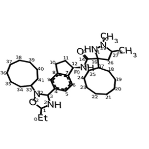 CCC1NC(c2ccc3c(c2)CC[C@H]3NC(=O)C2(C3CCCCCCCC3)CC(C)N(C)N2)N(C2CCCCCCCC2)O1